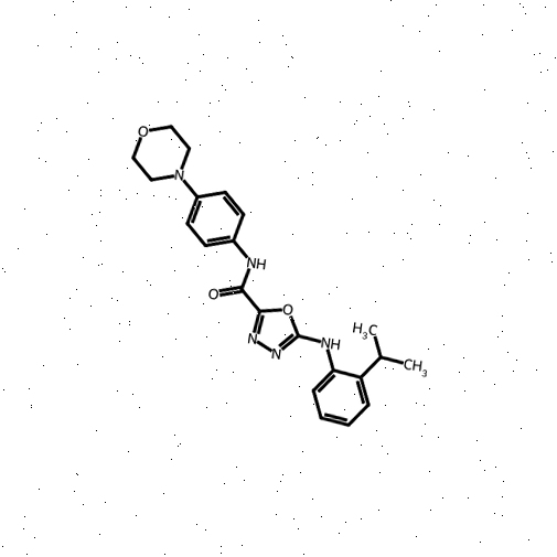 CC(C)c1ccccc1Nc1nnc(C(=O)Nc2ccc(N3CCOCC3)cc2)o1